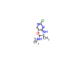 C[C@H](Nc1ccnc(Cl)n1)C(=O)NCC(F)(F)F